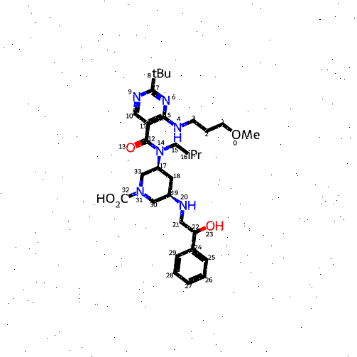 COCCCNc1nc(C(C)(C)C)ncc1C(=O)N(CC(C)C)[C@H]1C[C@@H](NCC(O)c2ccccc2)CN(C(=O)O)C1